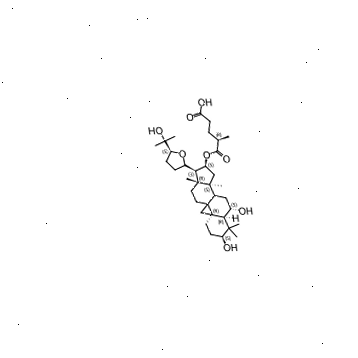 C[C@H](CCC(=O)O)C(=O)O[C@H]1C[C@@]2(C)C3C[C@H](O)[C@H]4C(C)(C)[C@@H](O)CC[C@@]45CC35CC[C@]2(C)[C@H]1C1CC[C@@H](C(C)(C)O)O1